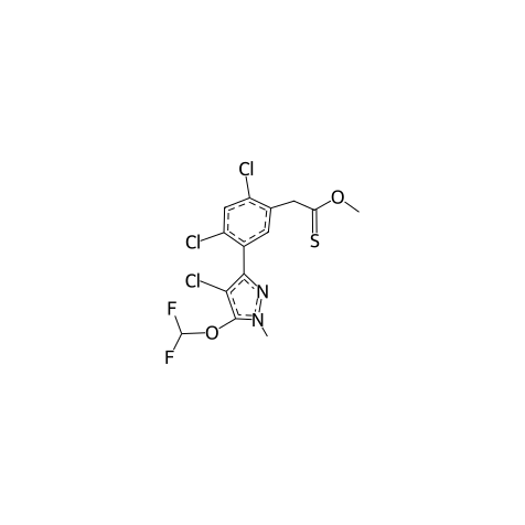 COC(=S)Cc1cc(-c2nn(C)c(OC(F)F)c2Cl)c(Cl)cc1Cl